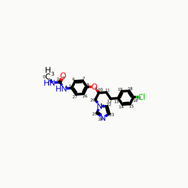 CNC(=O)Nc1ccc(OC(CCc2ccc(Cl)cc2)Cn2ccnc2)cc1